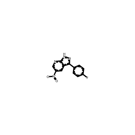 O=[N+]([O-])c1cnc2[nH]nc(-c3ccc(F)cc3)c2c1